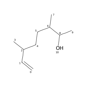 C=CC(C)CCC(C)C(C)O